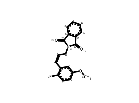 COc1ccc(F)c(/C=C\CN2C(=O)c3ccccc3C2=O)c1